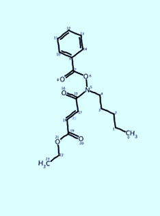 CCCCCN(OC(=O)c1ccccc1)C(=O)/C=C/C(=O)OCC